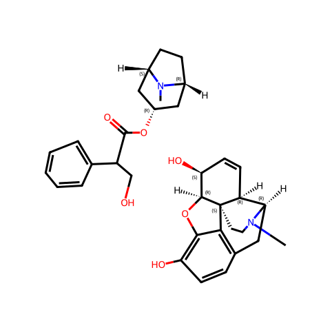 CN1CC[C@]23c4c5ccc(O)c4O[C@H]2[C@@H](O)C=C[C@H]3[C@H]1C5.CN1[C@@H]2CC[C@H]1C[C@@H](OC(=O)C(CO)c1ccccc1)C2